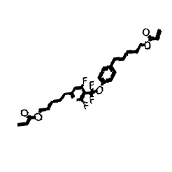 C=CC(=O)OCCCCCC(=C)/C=C(F)\C(=C(/C)F)C(F)(F)Oc1ccc(CCCCCOC(=O)C=C)cc1